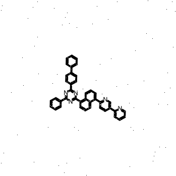 c1ccc(-c2ccc(-c3nc(-c4ccccc4)nc(-c4cccc5c(-c6ccc(-c7ccccn7)cn6)cccc45)n3)cc2)cc1